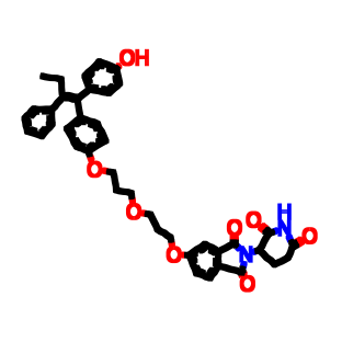 CC/C(=C(\c1ccc(O)cc1)c1ccc(OCCCOCCCOc2ccc3c(c2)C(=O)N(C2CCC(=O)NC2=O)C3=O)cc1)c1ccccc1